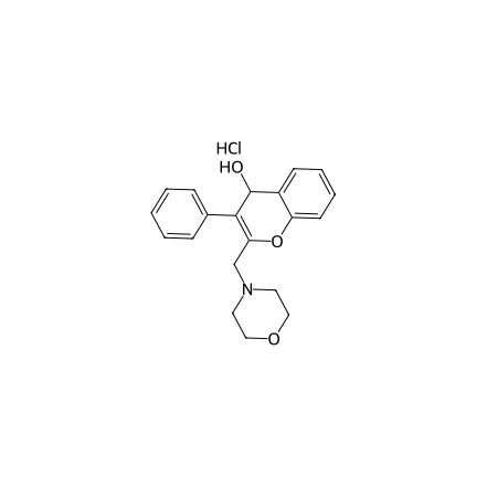 Cl.OC1C(c2ccccc2)=C(CN2CCOCC2)Oc2ccccc21